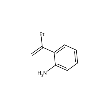 C=C(CC)c1ccccc1N